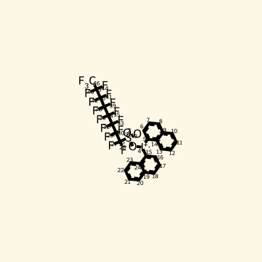 O=S(=O)(O[I+](c1cccc2ccccc12)c1cccc2ccccc12)C(F)(F)C(F)(F)C(F)(F)C(F)(F)C(F)(F)C(F)(F)C(F)(F)C(F)(F)F